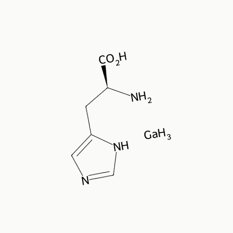 N[C@@H](Cc1cnc[nH]1)C(=O)O.[GaH3]